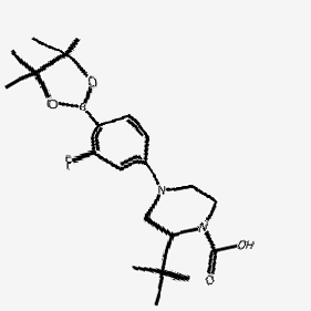 CC(C)(C)C1CN(c2ccc(B3OC(C)(C)C(C)(C)O3)c(F)c2)CCN1C(=O)O